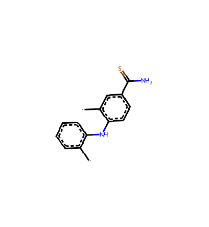 [CH2]c1ccccc1Nc1ccc(C(N)=S)cc1[CH2]